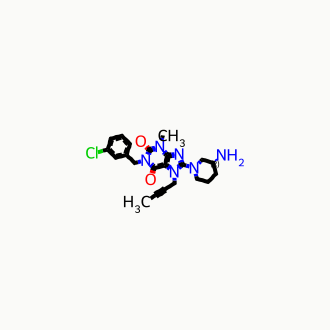 CC#CCn1c(N2CCC[C@@H](N)C2)nc2c1c(=O)n(Cc1cccc(Cl)c1)c(=O)n2C